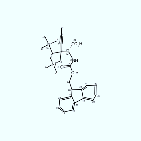 CC#CC(C[N+](C)(C)C)(C[N+](C)(C)C)[C@@H](NC(=O)OCC1c2ccccc2-c2ccccc21)C(=O)O